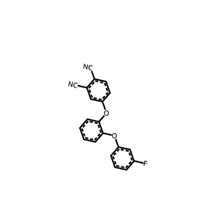 N#Cc1ccc(Oc2ccccc2Oc2cccc(F)c2)cc1C#N